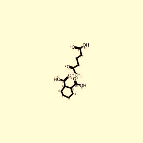 CC(=O)CCCC(=O)O.O=C(O)C1CCCCC1C(=O)O